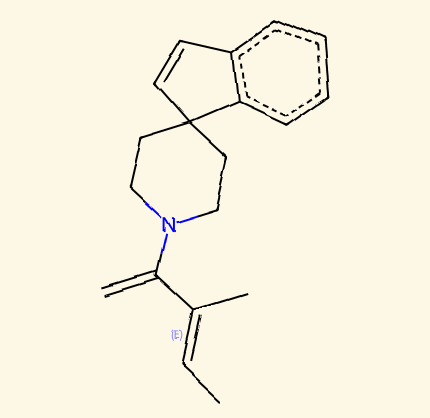 C=C(/C(C)=C/C)N1CCC2(C=Cc3ccccc32)CC1